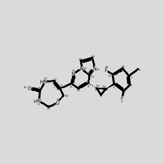 Cc1cc(F)c([C@H]2C[C@@H]2c2cc(/C3=C/NC(=O)NCOC3)nn3ccnc23)c(F)c1